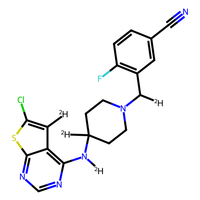 [2H]c1c(Cl)sc2ncnc(N([2H])C3([2H])CCN(C([2H])c4cc(C#N)ccc4F)CC3)c12